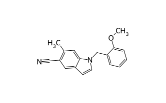 COc1ccccc1Cn1ccc2cc(C#N)c(C)cc21